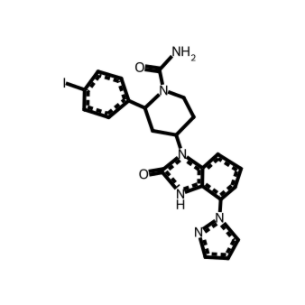 NC(=O)N1CCC(n2c(=O)[nH]c3c(-n4cccn4)cccc32)CC1c1ccc(I)cc1